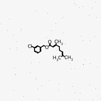 CC(C)=CCC/C(C)=C/C(=O)OCc1cccc(Cl)c1